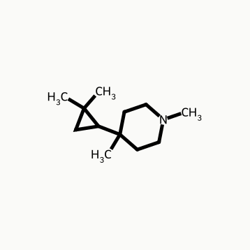 CN1CCC(C)(C2CC2(C)C)CC1